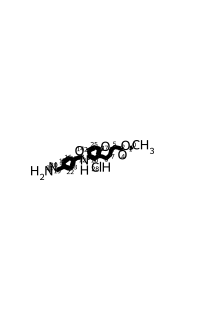 CCOC(=O)CC1CCc2cc(NC(=O)c3ccc(C=NN)cc3)ccc2O1.Cl